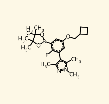 Cc1nn(C)c(C)c1-c1cc(OCC2CCC2)cc(B2OC(C)(C)C(C)(C)O2)c1F